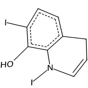 Oc1c(I)ccc2c1N(I)C=CC2